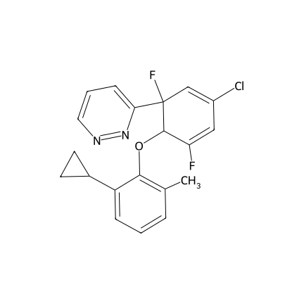 Cc1cccc(C2CC2)c1OC1C(F)=CC(Cl)=CC1(F)c1cccnn1